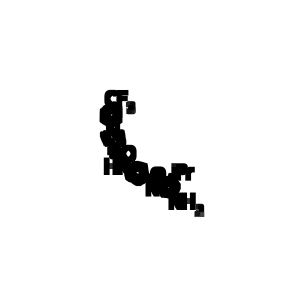 CC(C)c1cc(N)cc2nc(-c3ccc(NC(=O)CN4CCN(c5ccc(C(F)(F)F)cc5)CC4)cc3)oc12